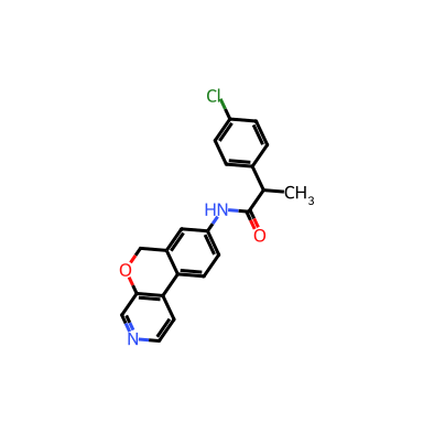 CC(C(=O)Nc1ccc2c(c1)COc1cnccc1-2)c1ccc(Cl)cc1